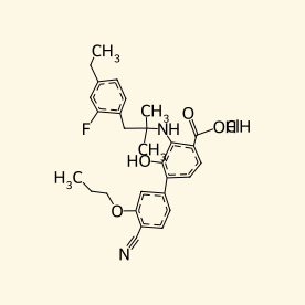 CCCOc1cc(-c2ccc(C(=O)O)c(NC(C)(C)Cc3ccc(CC)cc3F)c2O)ccc1C#N.Cl